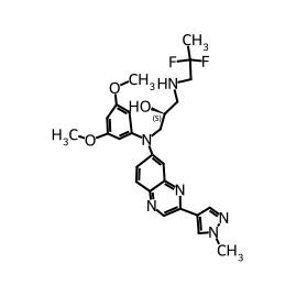 COc1cc(OC)cc(N(C[C@@H](O)CNCC(C)(F)F)c2ccc3ncc(-c4cnn(C)c4)nc3c2)c1